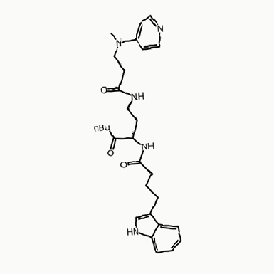 CCCCC(=O)C(CCNC(=O)CCN(C)c1ccncc1)NC(=O)CCCc1c[nH]c2ccccc12